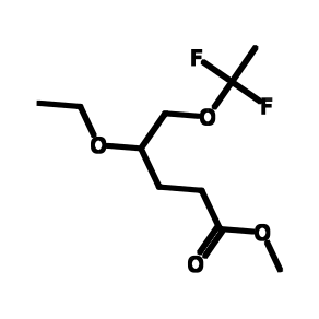 CCOC(CCC(=O)OC)COC(C)(F)F